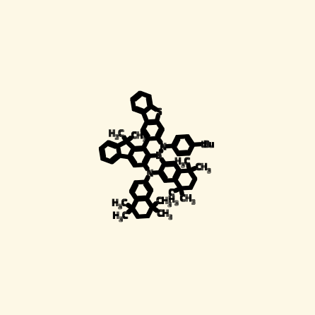 CC(C)(C)c1ccc(N2B3c4cc5c(cc4N(c4ccc6c(c4)C(C)(C)CCC6(C)C)c4cc6c(c(c43)-c3cc4c(cc32)sc2ccccc24)C(C)(C)c2ccccc2-6)C(C)(C)CCC5(C)C)cc1